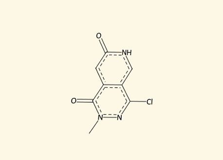 Cn1nc(Cl)c2c[nH]c(=O)cc2c1=O